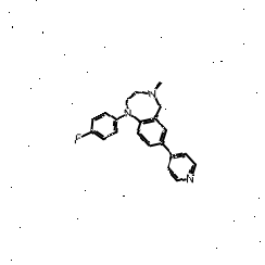 CN1CCN(c2ccc(F)cc2)c2ccc(-c3ccncc3)cc2C1